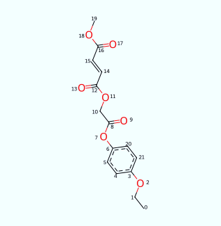 CCOc1ccc(OC(=O)COC(=O)C=CC(=O)OC)cc1